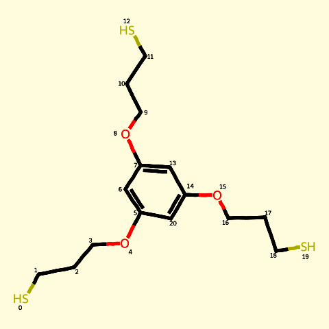 SCCCOc1cc(OCCCS)cc(OCCCS)c1